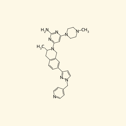 CC1Cc2ccc(-c3ccn(Cc4ccncc4)n3)cc2CN1c1cc(N2CCN(C)CC2)nc(N)n1